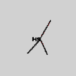 CCCCCCCCCCCCCCCCCCCCC[SiH](CCCCCCCCCCCCCCCCCCCCC)CCCCCCCCCCCCCCCCCCCCC